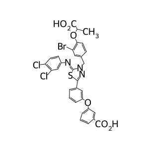 CC(Oc1ccc(Cn2nc(-c3cccc(Oc4cccc(C(=O)O)c4)c3)sc2=Nc2ccc(Cl)c(Cl)c2)cc1Br)C(=O)O